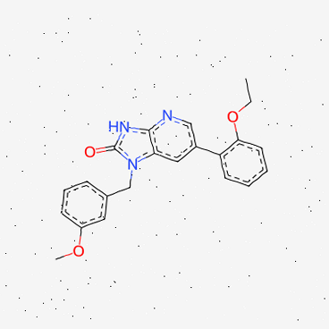 CCOc1ccccc1-c1cnc2[nH]c(=O)n(Cc3cccc(OC)c3)c2c1